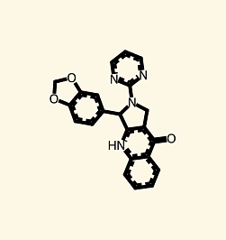 O=c1c2c([nH]c3ccccc13)C(c1ccc3c(c1)OCO3)N(c1ncccn1)C2